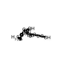 Cc1ncsc1-c1ccc(CNC(=O)[C@@H]2C[C@@H](O)CN2C(=O)[C@@H](NC(=O)CCOCCOCCOCCO)C(C)(C)C)cc1